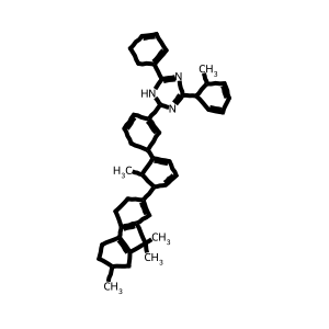 CC1CCC2=C(C1)C(C)(C)C1=C2CCC(C2C=CC=C(C3C=C(C4N=C(C5C=CC=CC5C)N=C(C5=CC=CCC5)N4)C=CC3)C2C)=C1